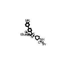 CC(C)OC(=O)N[C@H]1CC[C@H](c2ncc(-c3ccc(-c4ccc5ncsc5c4)cc3S(=O)(=O)NC(C)(C)C)s2)CC1